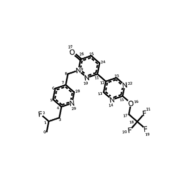 CC(F)Cc1ccc(Cn2nc(-c3cnc(OCC(F)(F)F)nc3)ccc2=O)cn1